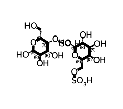 O=S(=O)(O)OC[C@H]1O[C@H](O)[C@H](O)[C@@H](O)[C@H]1O.O=S(=O)(O)O[C@@H]1[C@H](O)[C@@H](O)[C@H](O)O[C@@H]1CO